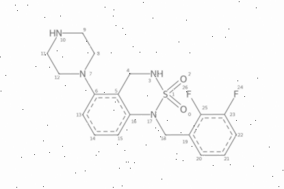 O=S1(=O)NCc2c(N3CCNCC3)cccc2N1Cc1cccc(F)c1F